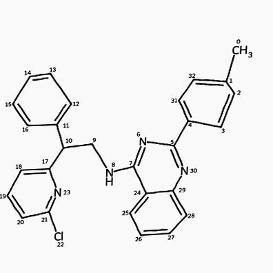 Cc1ccc(-c2nc(NCC(c3ccccc3)c3cccc(Cl)n3)c3ccccc3n2)cc1